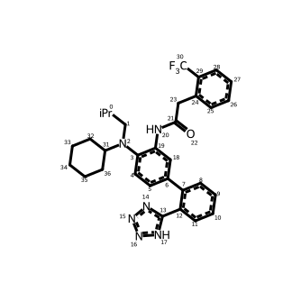 CC(C)CN(c1ccc(-c2ccccc2-c2nnn[nH]2)cc1NC(=O)Cc1ccccc1C(F)(F)F)C1CCCCC1